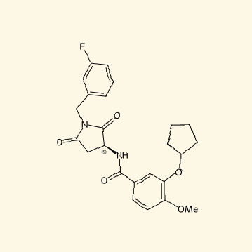 COc1ccc(C(=O)N[C@H]2CC(=O)N(Cc3cccc(F)c3)C2=O)cc1OC1CCCC1